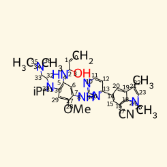 C=CC(O)Nc1cc(Nc2nccc(-c3cc(C#N)c4c(c3)c(C)cn4C)n2)c(OC)cc1N(CCN(C)C)C(C)C